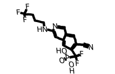 N#Cc1cc2cnc(NCCCC(F)(F)F)cc2cc1C(F)(F)P(=O)(O)O